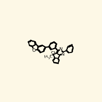 CC1(C)c2ccccc2-c2nc(-c3ccccc3)nc(-c3cccc(-c4ccc5oc6ccccc6c5c4)c3)c21